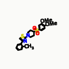 COc1ccc(S(=O)(=O)C2CCN(c3nc(-c4ccccc4C)cs3)CC2)cc1OC